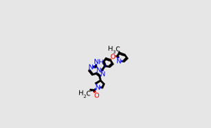 C=CC(=O)N1CCC(c2nc(-c3ccc(Oc4ncccc4C)cc3)n3c(N)nccc23)C1